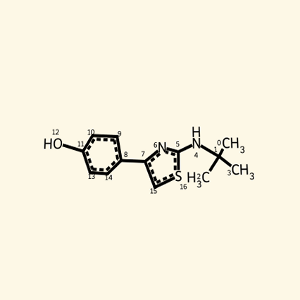 CC(C)(C)Nc1nc(-c2ccc(O)cc2)cs1